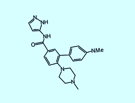 CNc1ccc(-c2cc(C(=O)Nc3ccn[nH]3)ccc2N2CCN(C)CC2)cc1